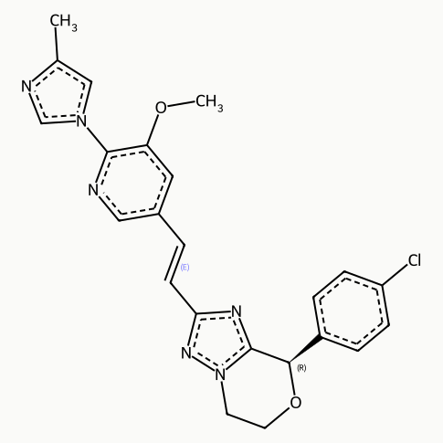 COc1cc(/C=C/c2nc3n(n2)CCO[C@@H]3c2ccc(Cl)cc2)cnc1-n1cnc(C)c1